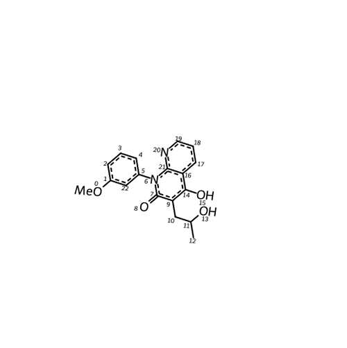 COc1cccc(-n2c(=O)c(CC(C)O)c(O)c3cccnc32)c1